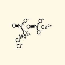 O=[N+]([O-])[O-].O=[N+]([O-])[O-].[Ca+2].[Cl-].[Cl-].[Mg+2]